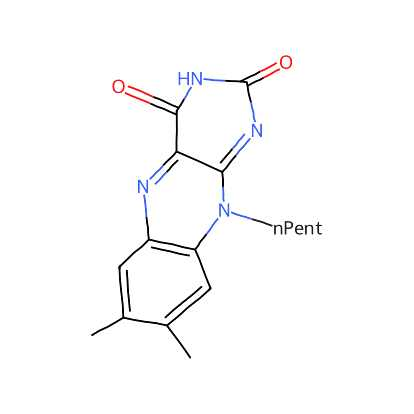 CCCCCn1c2nc(=O)[nH]c(=O)c-2nc2cc(C)c(C)cc21